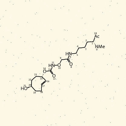 CN[C@H](CCCCNC(=O)CONC(=O)O[C@@H]1/C=C/CC[C@@H](O)CC1)C(C)=O